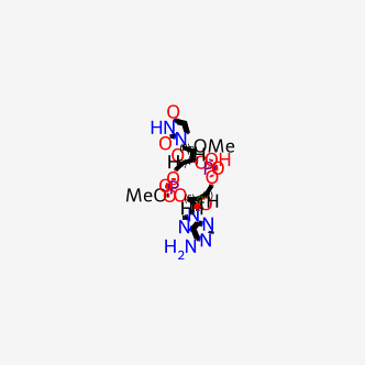 COOP1(=O)OC[C@H]2O[C@@H](n3ccc(=O)[nH]c3=O)[C@H](OC)[C@@H]2OP(=O)(O)OC[C@H]2O[C@@H](n3cnc4c(N)ncnc43)[C@H](O1)[C@@H]2F